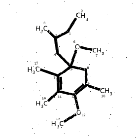 CCC(C)CC1(OC)CC(C)=C(OC)C(C)=C1C